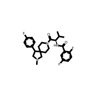 CC(C)[C@@H](NC(=O)c1cc(F)ccc1F)C(=O)N1CCC2(CC1)CN(C)CC2c1ccc(F)cc1